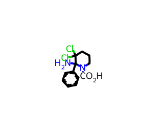 NC1(c2ccccc2)N(C(=O)O)CCCC1(Cl)Cl